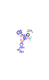 CSc1ccc(OC(F)F)c(-c2nn(CC(=O)N3CCC(NCC4(C=N)CC4)CC3)cc2NC(=O)c2cnn3cccnc23)c1